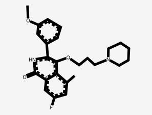 COc1cccc(-c2[nH]c(=O)c3cc(F)cc(C)c3c2OCCCN2CCCCC2)c1